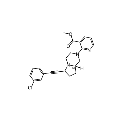 COC(=O)c1cccnc1N1CCN2C(C#Cc3cccc(Cl)c3)CC[C@H]2C1